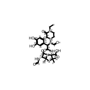 CCN1CCN(N(C=O)C(C(=O)N[C@@]2(C(=O)O)N3C(=O)[C@@H](NC=O)[C@H]3SC2(C)C)c2ccc(O)c(O)c2)C(=O)C1=O